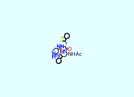 CC(=O)N[C@@H](Cc1c[nH]c2ccccc12)NC(=O)[C@@H](Cc1csc2ccccc12)NC(=O)C1(N)CCNCC1